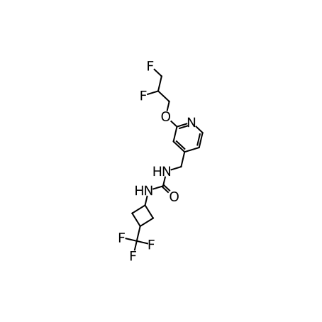 O=C(NCc1ccnc(OCC(F)CF)c1)NC1CC(C(F)(F)F)C1